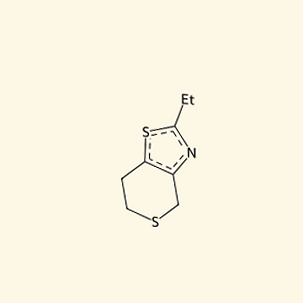 CCc1nc2c(s1)CCSC2